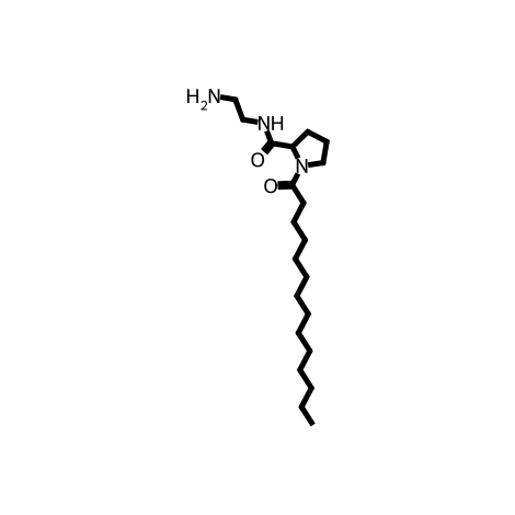 CCCCCCCCCCCCCC(=O)N1CCCC1C(=O)NCCN